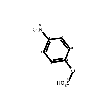 O=[N+]([O-])c1ccc(OS(=O)(=O)O)cc1